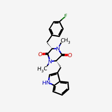 CN1C(=O)[C@H](Cc2c[nH]c3ccccc23)N(C)C(=O)[C@@H]1Cc1ccc(F)cc1